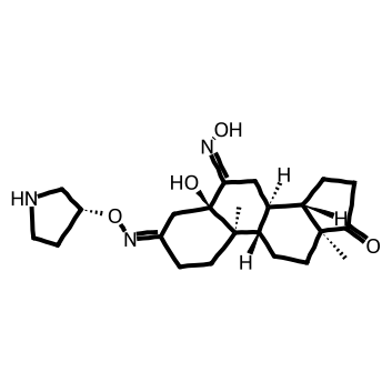 C[C@]12CC[C@H]3[C@@H](C/C(=N\O)[C@@]4(O)C/C(=N\O[C@@H]5CCNC5)CC[C@]34C)[C@@H]1CCC2=O